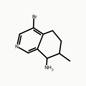 CC1CCc2c(Br)cncc2C1N